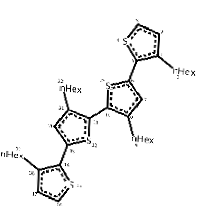 CCCCCCc1ccsc1-c1cc(CCCCCC)c(-c2sc(-c3sccc3CCCCCC)cc2CCCCCC)s1